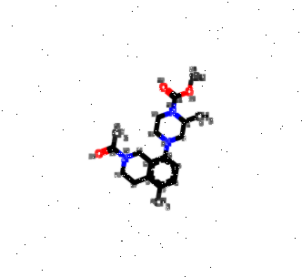 CC1CN(c2ccc(C(F)(F)F)c3c2CN(C(=O)C(F)(F)F)CC3)CCN1C(=O)OC(C)(C)C